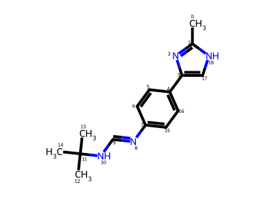 Cc1nc(-c2ccc(/N=C/NC(C)(C)C)cc2)c[nH]1